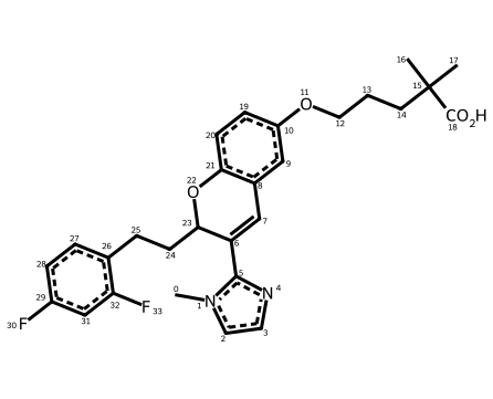 Cn1ccnc1C1=Cc2cc(OCCCC(C)(C)C(=O)O)ccc2OC1CCc1ccc(F)cc1F